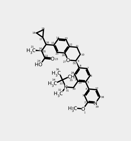 COc1cc(-c2ccc([C@@H]3CCc4ccc(C(C5CC5)[C@H](C)C(=O)O)cc4O3)cc2CN(C)C(C)(C)C)ccn1